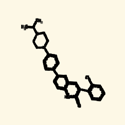 CC(C)N1CCN(c2ccc(-c3ccc4[nH]c(=O)c(-c5ccccc5Cl)cc4c3)cc2)CC1